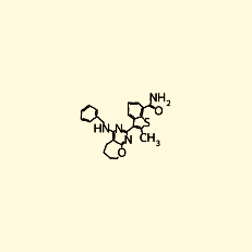 Cc1sc2c(C(N)=O)cccc2c1-c1nc(NCc2ccccc2)c2c(n1)OCCCC2